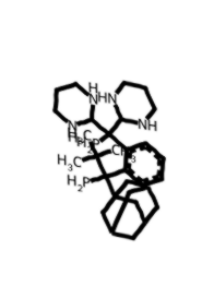 CC(C)(C)C(P)(c1ccccc1C(P)(C1NCCCN1)C1NCCCN1)C12CC3CC(CC(C3)C1)C2